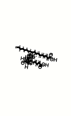 CCCCCCCCC(CCCCCCCCC(=O)O)[N+](=O)[O-].O=C(O)CCCC[C@@H]1SC[C@@H]2NC(=O)N[C@@H]21